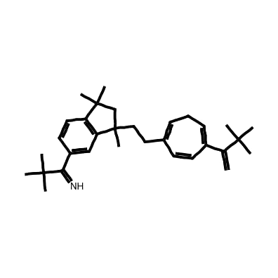 C=C(C1=CCC=C(CCC2(C)CC(C)(C)c3ccc(C(=N)C(C)(C)C)cc32)C=C1)C(C)(C)C